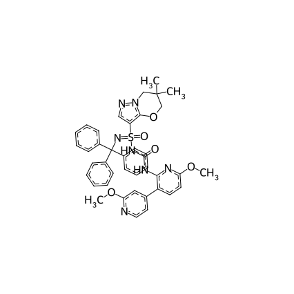 COc1cc(-c2ccc(OC)nc2NC(=O)NS(=O)(=NC(c2ccccc2)(c2ccccc2)c2ccccc2)c2cnn3c2OCC(C)(C)C3)ccn1